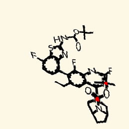 CCc1cc2c(N3CC4CCC(C3)N4C(=O)OC(C)(C)C)nc(F)nc2c(F)c1-c1ccc(F)c2sc(NC(=O)OC(C)(C)C)nc12